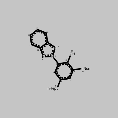 CCCCCCCCCc1cc(CCCCCCC)cc(-n2nc3ccccc3n2)c1O